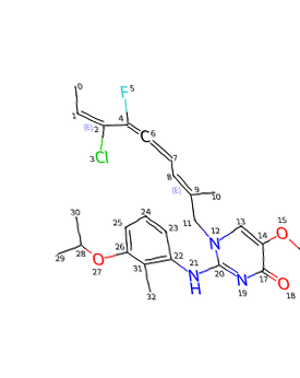 C/C=C(/Cl)C(F)=C=C/C=C(\C)Cn1cc(OC)c(=O)nc1Nc1cccc(OC(C)C)c1C